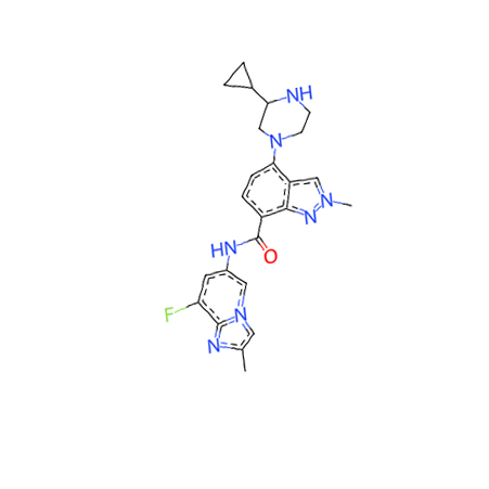 Cc1cn2cc(NC(=O)c3ccc(N4CCNC(C5CC5)C4)c4cn(C)nc34)cc(F)c2n1